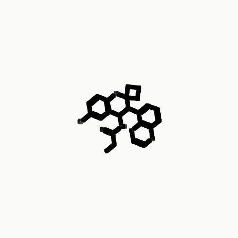 CCC(=O)NC1c2cc(Cl)ccc2OC2(CCC2)C1c1cccc2c1OC=CO2